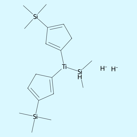 C[SiH](C)[Ti]([C]1=CC([Si](C)(C)C)=CC1)[C]1=CC([Si](C)(C)C)=CC1.[H-].[H-]